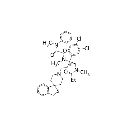 CCC(=O)N(C)C[C@](CCN1CCC2(CC1)SCc1ccccc12)(c1ccc(Cl)c(Cl)c1)N(C)C(=O)C(=O)N(C)c1ccccc1